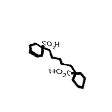 O=C(O)C1(CCCCCC2(C(=O)O)CCCCC2)CCCCC1